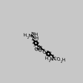 N=C(N)NCc1ccc(N2CC(COc3ccc(CC(N)C(=O)O)cc3)OC2=O)cc1